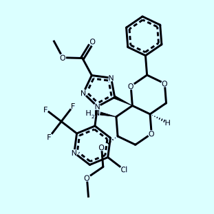 COCO[C@H]1CO[C@@H]2COC(c3ccccc3)O[C@@]2(c2nc(C(=O)OC)nn2-c2cc(Cl)cnc2C(F)(F)F)[C@@H]1N